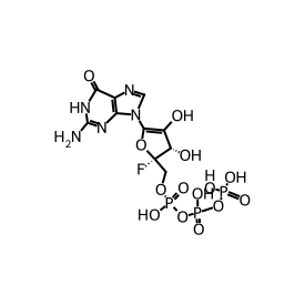 Nc1nc2c(ncn2C2=C(O)[C@H](O)[C@@](F)(COP(=O)(O)OP(=O)(O)OP(=O)(O)O)O2)c(=O)[nH]1